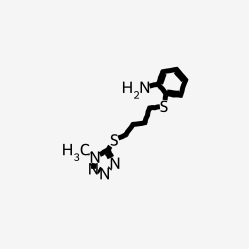 Cn1nnnc1SCCCCSc1ccccc1N